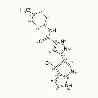 CN1CCC(NC(=O)c2nnc(-c3cnc4[nH]ccc4c3Cl)s2)CC1